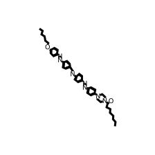 CCCCCCCC(=O)N1CCN(c2ccc(N=Nc3ccc(N=Cc4ccc(N=Nc5ccc(OCCCCCC)cc5)cc4)cc3)cc2)CC1